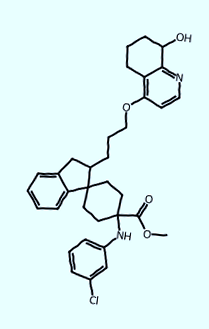 COC(=O)C1(Nc2cccc(Cl)c2)CCC2(CC1)c1ccccc1CC2CCCOc1ccnc2c1CCCC2O